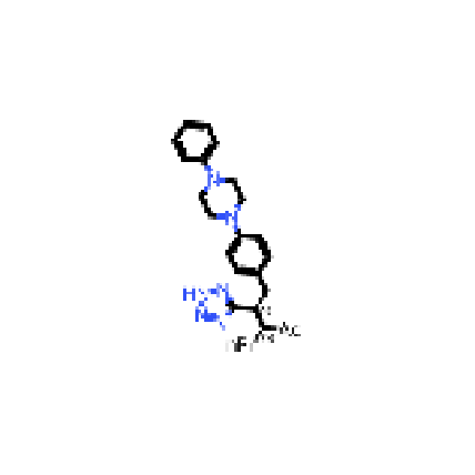 CCC[C@H](C(C)=O)[C@H](Cc1ccc(N2CCN(c3ccccc3)CC2)cc1)c1nn[nH]n1